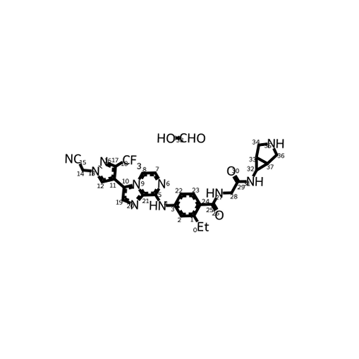 CCc1cc(Nc2nccn3c(-c4cn(CC#N)nc4C(F)(F)F)cnc23)ccc1C(=O)NCC(=O)NC1C2CNCC21.O=CO